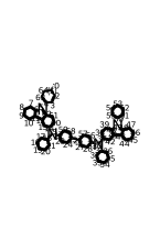 C[C@@H]1C=CC(n2c3ccccc3c3cc(N(c4ccccc4)c4ccc(-c5ccc(N(c6ccccc6)c6ccc7c(c6)c6ccccc6n7-c6ccccc6)cc5)cc4)ccc32)=CC1